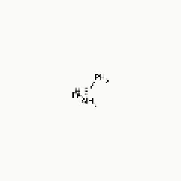 [AlH3].[Fe].[SiH3]P